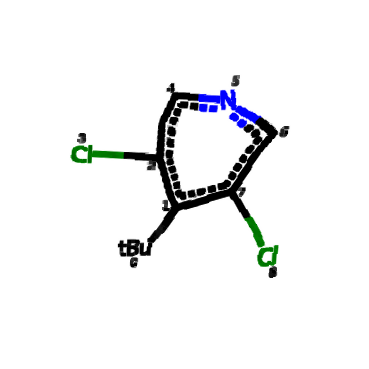 CC(C)(C)c1c(Cl)cncc1Cl